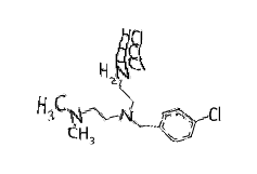 CN(C)CCN(CCN)Cc1ccc(Cl)cc1.Cl.Cl.Cl